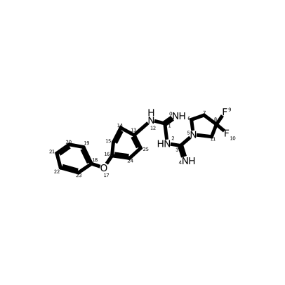 N=C(NC(=N)N1CCC(F)(F)C1)Nc1ccc(Oc2ccccc2)cc1